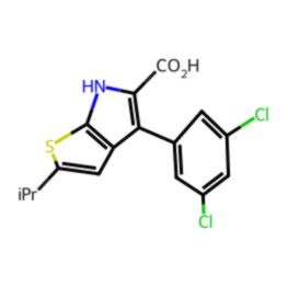 CC(C)c1cc2c(-c3cc(Cl)cc(Cl)c3)c(C(=O)O)[nH]c2s1